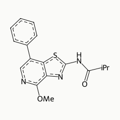 COc1ncc(-c2ccccc2)c2sc(NC(=O)C(C)C)nc12